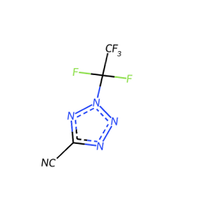 N#Cc1nnn(C(F)(F)C(F)(F)F)n1